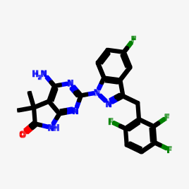 CC1(C)C(=O)Nc2nc(-n3nc(Cc4c(F)ccc(F)c4F)c4cc(F)ccc43)nc(N)c21